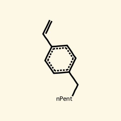 C=Cc1ccc(CCCCCC)cc1